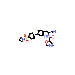 N#C[C@H](Cc1cc(F)c(-c2ccc(S(=O)(=O)N3CCC3)cc2)cc1F)NC(=O)C1CNCO1